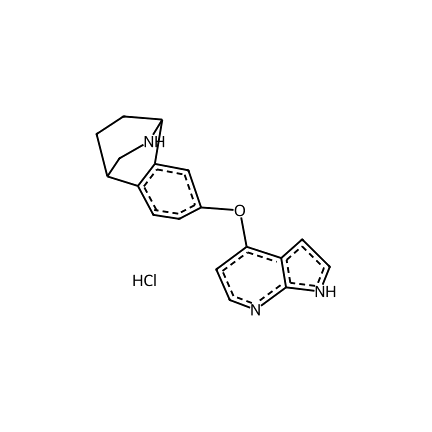 Cl.c1cc(Oc2ccc3c(c2)C2CCC3CN2)c2cc[nH]c2n1